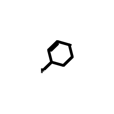 FC1C=C[CH]CC1